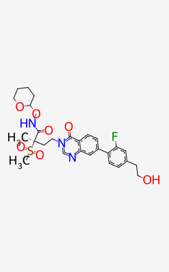 C[C@@](CCn1cnc2cc(-c3ccc(CCO)cc3F)ccc2c1=O)(C(=O)NOC1CCCCO1)S(C)(=O)=O